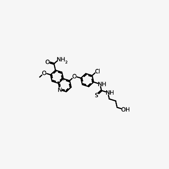 COc1cc2nccc(Oc3ccc(NC(=S)NCCCO)c(Cl)c3)c2cc1C(N)=O